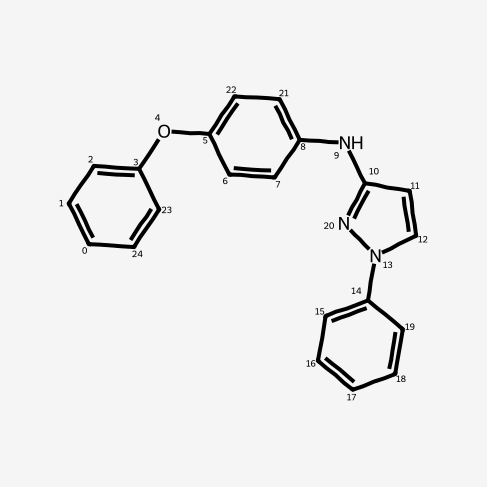 c1ccc(Oc2ccc(Nc3ccn(-c4ccccc4)n3)cc2)cc1